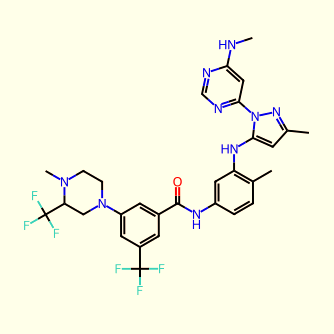 CNc1cc(-n2nc(C)cc2Nc2cc(NC(=O)c3cc(N4CCN(C)C(C(F)(F)F)C4)cc(C(F)(F)F)c3)ccc2C)ncn1